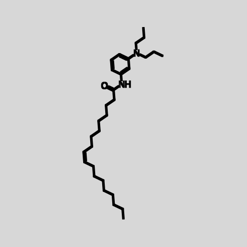 CCCCCCCC/C=C\CCCCCCCC(=O)Nc1cccc(N(CCC)CCC)c1